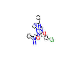 O=C(CC1NCc2ccccc21)N[C@H](Cc1ccc(Cl)cc1)C(=O)N1CCN(C(CC2CCCCC2)CN2CCCC2)CC1